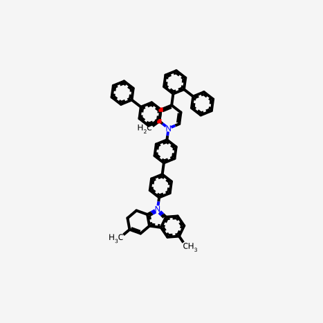 C=C/C=C(\C=C/N(c1ccc(-c2ccccc2)cc1)c1ccc(-c2ccc(-n3c4c(c5cc(C)ccc53)C=C(C)CC4)cc2)cc1)c1ccccc1-c1ccccc1